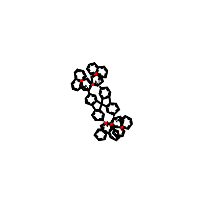 C1=C=CC(N(c2ccc3c(c2)C2(c4cc(N(C5=CCCC=C5)c5cccc6ccccc56)ccc4-c4ccc(N(c5ccccc5)c5cccc6ccccc56)cc42)c2cc(N(c4ccccc4)c4cccc5ccccc45)ccc2-3)c2cccc3ccccc23)=CC=1